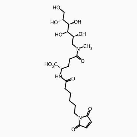 CN(C[C@H](O)[C@@H](O)[C@H](O)[C@H](O)CO)C(=O)CC[C@H](NC(=O)CCCCCN1C(=O)C=CC1=O)C(=O)O